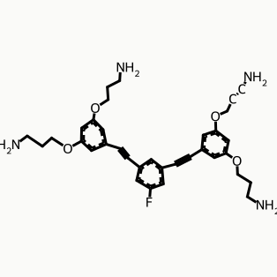 NCCCOc1cc(C#Cc2cc(F)cc(C#Cc3cc(OCCCN)cc(OCCCN)c3)c2)cc(OCCCN)c1